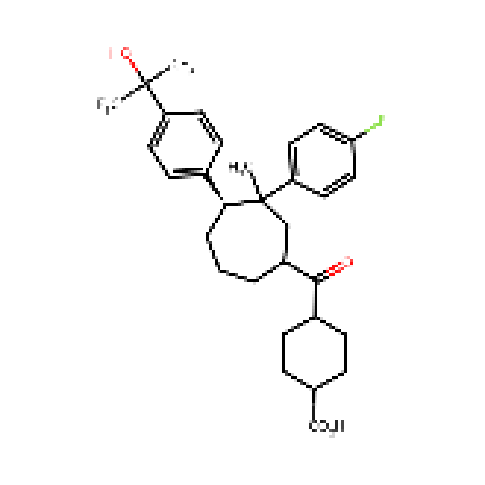 CC1(c2ccc(F)cc2)CC(C(=O)C2CCC(C(=O)O)CC2)CCC[C@H]1c1ccc(C(O)(C(F)(F)F)C(F)(F)F)cc1